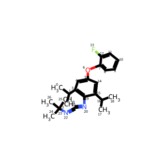 CC(C)c1cc(Oc2ccccc2F)cc(C(C)C)c1N=C=NC(C)(C)C